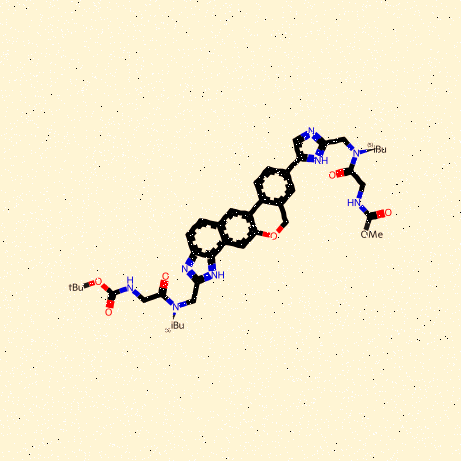 CC[C@H](C)N(Cc1ncc(-c2ccc3c(c2)COc2cc4c(ccc5nc(CN(C(=O)CNC(=O)OC(C)(C)C)[C@@H](C)CC)[nH]c54)cc2-3)[nH]1)C(=O)CNC(=O)OC